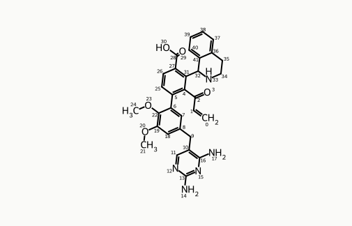 C=CC(=O)c1c(-c2cc(Cc3cnc(N)nc3N)cc(OC)c2OC)ccc(C(=O)O)c1C1NCCc2ccccc21